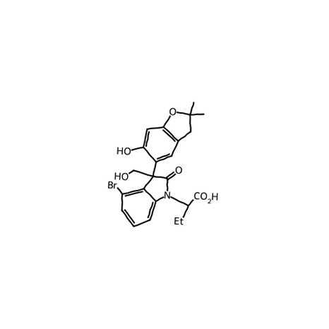 CCC(C(=O)O)N1C(=O)C(CO)(c2cc3c(cc2O)OC(C)(C)C3)c2c(Br)cccc21